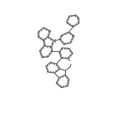 CCC1c2ccccc2-c2cccc(-c3c(C)cccc3-c3cccc4c5ccccc5n(-c5cccc(-c6ccccc6)c5)c34)c21